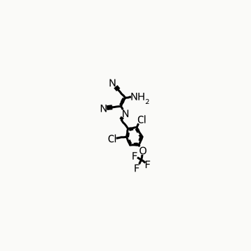 N#CC(N)=C(C#N)N=Cc1c(Cl)cc(OC(F)(F)F)cc1Cl